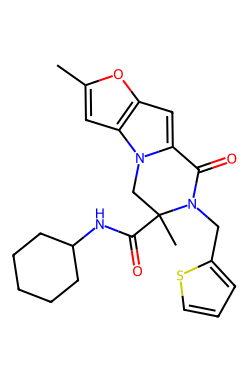 Cc1cc2c(cc3n2CC(C)(C(=O)NC2CCCCC2)N(Cc2cccs2)C3=O)o1